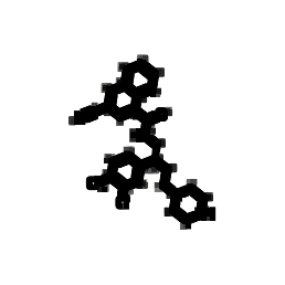 N#Cc1cc(C(=O)NC[C@@H](CCN2CCNCC2)c2ccc(Cl)c(Cl)c2)c2ccccc2c1